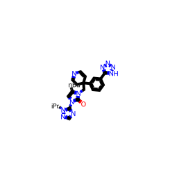 CCCCc1cn(-c2ncnn2C(C)C)c(=O)n1CC1(c2cccc(-c3nnn[nH]3)c2)C=CN=CC1